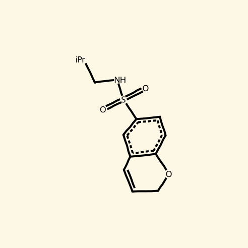 CC(C)CNS(=O)(=O)c1ccc2c(c1)C=CCO2